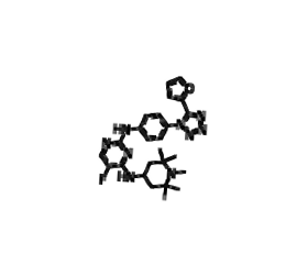 CN1C(C)(C)CC(Nc2nc(Nc3ccc(-n4nnnc4-c4ccco4)cc3)ncc2F)CC1(C)C